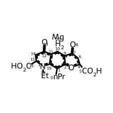 CCCc1c2oc(C(=O)O)cc(=O)c2cc2c(=O)cc(C(=O)O)n(CC)c12.[MgH2]